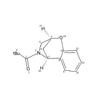 CC(C)(C)C(=O)N1C[C@@H]2C[C@H]1c1ccccc1O2